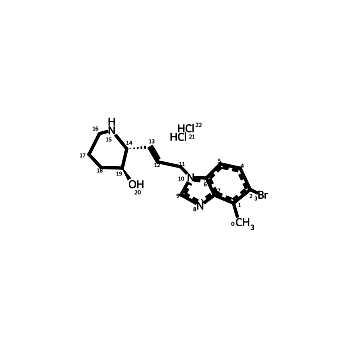 Cc1c(Br)ccc2c1ncn2C/C=C/[C@H]1NCCC[C@@H]1O.Cl.Cl